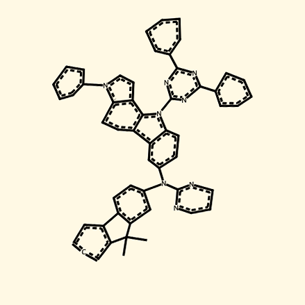 CC1(C)c2ccccc2-c2ccc(N(c3ccc4c(c3)c3ccc5c(ccn5-c5ccccc5)c3n4-c3nc(-c4ccccc4)nc(-c4ccccc4)n3)c3ncccn3)cc21